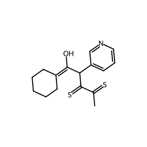 CC(=S)C(=S)C(C(O)=C1CCCCC1)c1cccnc1